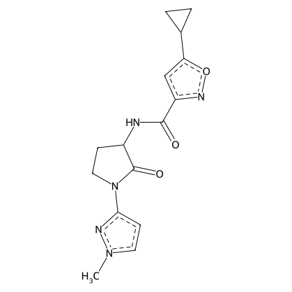 Cn1ccc(N2CCC(NC(=O)c3cc(C4CC4)on3)C2=O)n1